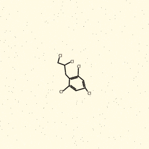 ClCC(Cl)Cc1c(Cl)cc(Cl)cc1Cl